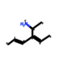 CC=CC(=CC)C(C)N